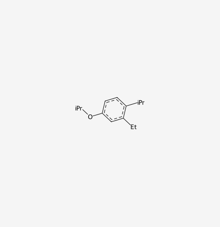 CCc1cc(OC(C)C)ccc1C(C)C